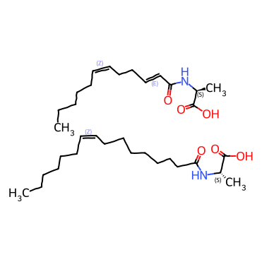 CCCCC/C=C\CC/C=C/C(=O)N[C@@H](C)C(=O)O.CCCCCC/C=C\CCCCCCCC(=O)N[C@@H](C)C(=O)O